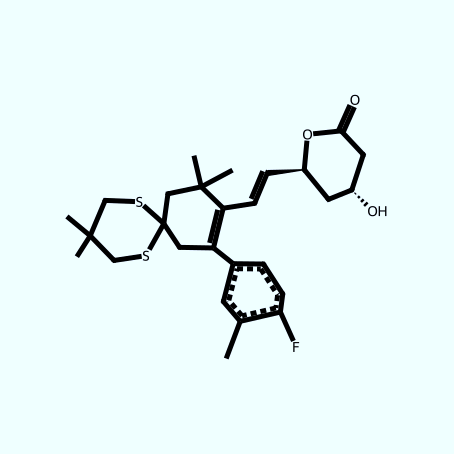 Cc1cc(C2=C(/C=C/[C@@H]3C[C@@H](O)CC(=O)O3)C(C)(C)CC3(C2)SCC(C)(C)CS3)ccc1F